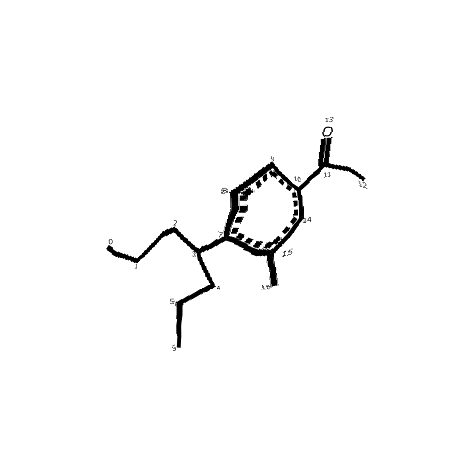 CCCC(CCC)c1ccc(C(C)=O)cc1C